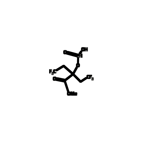 COC(=O)C(CC(F)(F)F)(CC(F)(F)F)O[PH](=O)O